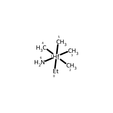 C[CH2][Hf]([CH3])([CH3])([CH3])([CH3])[NH2]